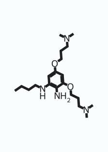 CCCCNc1cc(OCCCN(C)C)cc(OCCCN(C)C)c1N